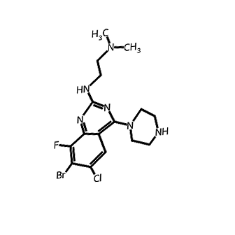 CN(C)CCNc1nc(N2CCNCC2)c2cc(Cl)c(Br)c(F)c2n1